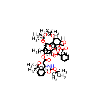 CC(=O)O[C@@]12CO[C@@H]1C[C@@H]1O[Si](C)(C)O[Si](C)(C)O[C@H]3C(=O)[C@@]1(C)[C@@H]2[C@H](OC(=O)c1ccccc1)[C@]1(O)C[C@H](OC(=O)[C@H](O[Si](C)(C)C)[C@@H](NC(=O)OC(C)(C)C)c2ccccc2)C(C)=C3C1(C)C